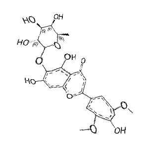 COc1cc(-c2cc(=O)c3c(O)c(OC4O[C@H](C)[C@H](O)[C@H](O)[C@H]4O)c(O)cc3o2)cc(OC)c1O